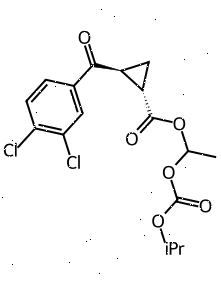 CC(C)OC(=O)OC(C)OC(=O)[C@H]1C[C@@H]1C(=O)c1ccc(Cl)c(Cl)c1